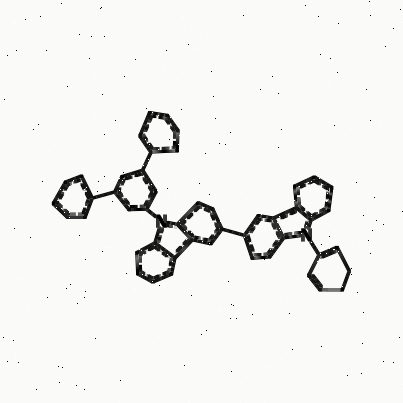 C1=CC(n2c3ccccc3c3cc(-c4ccc5c(c4)c4ccccc4n5-c4cc(-c5ccccc5)cc(-c5ccccc5)c4)ccc32)=CCC1